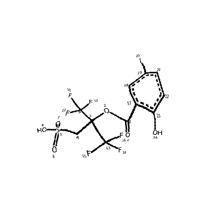 O=C(OC(CS(=O)(=O)O)(C(F)(F)F)C(F)(F)F)c1cc(I)ccc1O